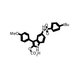 COc1ccc(-c2c(OC(=O)O)[nH]c3ccc(NS(=O)(=O)c4ccc(C(C)(C)C)cc4)cc23)cc1